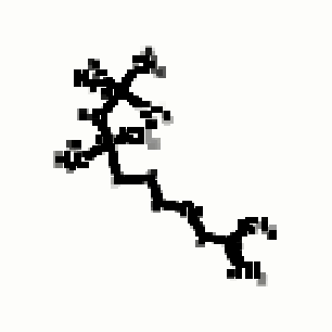 C=C(C)COCCC[Si](C)(C)O[Si](C)(C)C